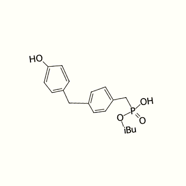 CCC(C)OP(=O)(O)Cc1ccc(Cc2ccc(O)cc2)cc1